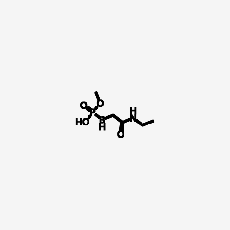 CCNC(=O)CBP(=O)(O)OC